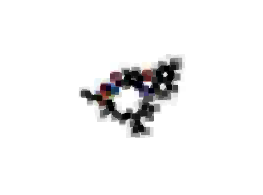 CCCCC1[C@H](C)C/C=C/C(C2CC2)C2CCC2CN2C[C@@]3(CCCc4cc(Cl)ccc43)COc3ccc(cc32)C(=O)NS1(=O)=O